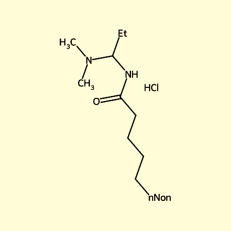 CCCCCCCCCCCCCC(=O)NC(CC)N(C)C.Cl